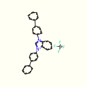 F[B-](F)(F)F.c1ccc(-c2ccc(-n3c[n+](-c4ccc(-c5ccccc5)cc4)c4ccccc43)cc2)cc1